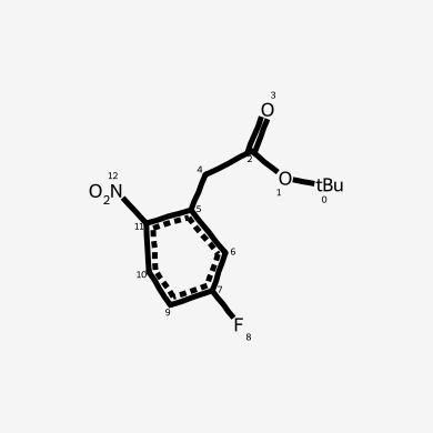 CC(C)(C)OC(=O)Cc1cc(F)ccc1[N+](=O)[O-]